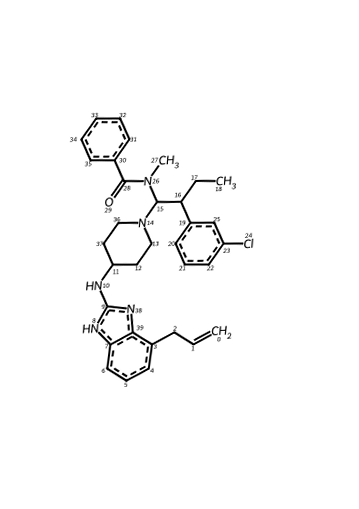 C=CCc1cccc2[nH]c(NC3CCN(C(C(CC)c4cccc(Cl)c4)N(C)C(=O)c4ccccc4)CC3)nc12